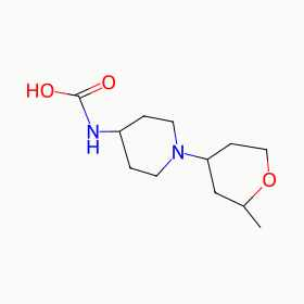 CC1CC(N2CCC(NC(=O)O)CC2)CCO1